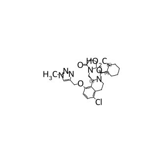 Cn1cc(COc2ccc(Cl)c3c2[C@@H](CN2CCCC2=O)N(C(=O)[C@@H]2CCCC[C@@H]2C(=O)O)CC3)nn1